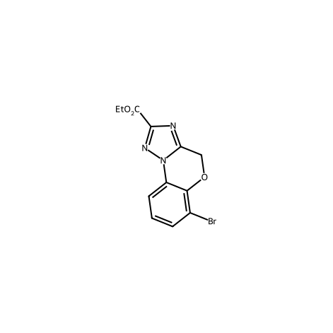 CCOC(=O)c1nc2n(n1)-c1cccc(Br)c1OC2